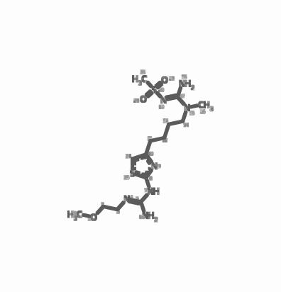 COCCN=C(N)Nc1nc(CCCCN(C)C(N)=NS(C)(=O)=O)cs1